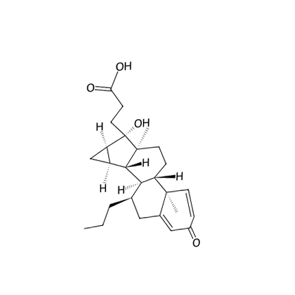 CCC[C@@H]1CC2=CC(=O)C=C[C@]2(C)[C@H]2CC[C@@]3(C)[C@@H]([C@H]4C[C@H]4[C@@]3(O)CCC(=O)O)[C@H]12